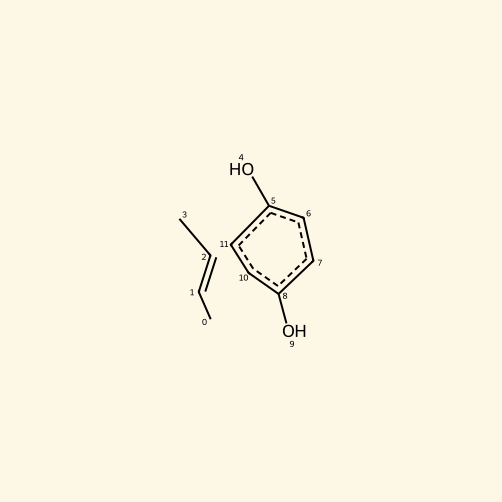 CC=CC.Oc1ccc(O)cc1